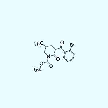 C[C@H]1CC(C(=O)c2ccccc2Br)C(=O)N(C(=O)OC(C)(C)C)C1